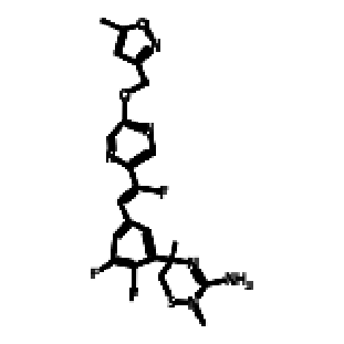 Cc1cc(COc2cnc(C(F)=Cc3cc(F)c(F)c(C4(C)CSN(C)C(N)=N4)c3)cn2)no1